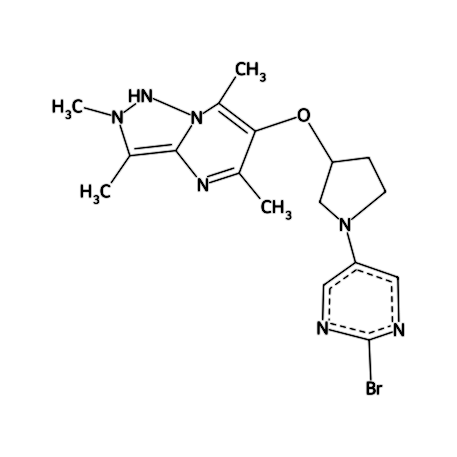 CC1=NC2=C(C)N(C)NN2C(C)=C1OC1CCN(c2cnc(Br)nc2)C1